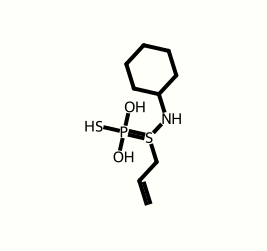 C=CCS(NC1CCCCC1)=P(O)(O)S